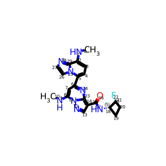 CNc1ccc(-c2cc(NC)n3ncc(C(=O)N[C@H]4CC[C@H]4F)c3n2)n2ccnc12